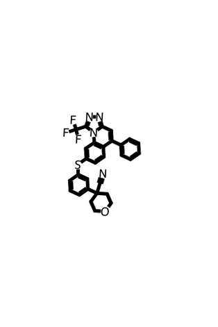 N#CC1(c2cccc(Sc3ccc4c(-c5ccccc5)cc5nnc(C(F)(F)F)n5c4c3)c2)CCOCC1